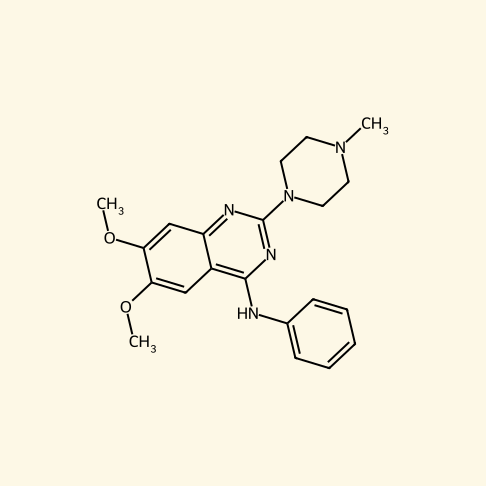 COc1cc2nc(N3CCN(C)CC3)nc(Nc3ccccc3)c2cc1OC